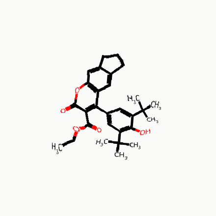 CCOC(=O)c1c(-c2cc(C(C)(C)C)c(O)c(C(C)(C)C)c2)c2cc3c(cc2oc1=O)CCC3